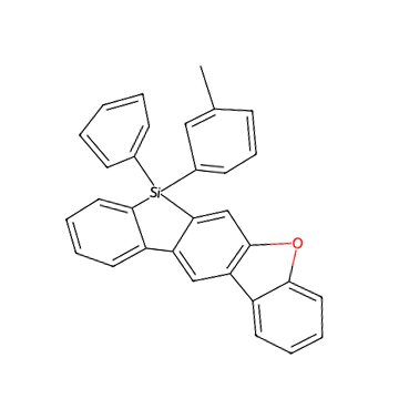 Cc1cccc([Si]2(c3ccccc3)c3ccccc3-c3cc4c(cc32)oc2ccccc24)c1